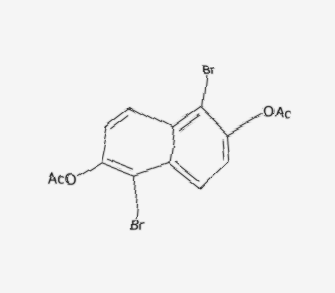 CC(=O)Oc1ccc2c(Br)c(OC(C)=O)ccc2c1Br